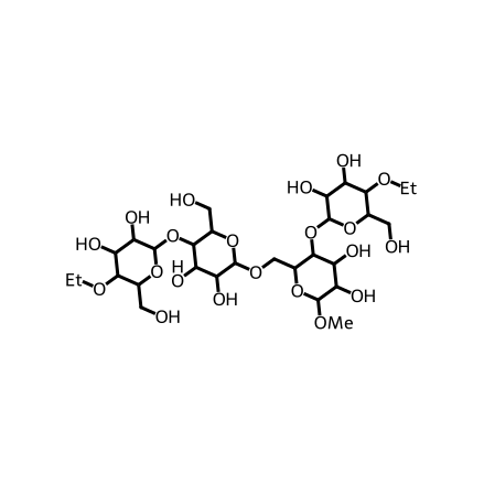 CCOC1C(CO)OC(OC2C(COC3OC(CO)C(OC4OC(CO)C(OCC)C(O)C4O)C(O)C3O)OC(OC)C(O)C2O)C(O)C1O